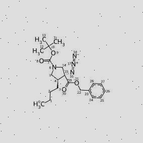 CCCC[C@H]1CN(C(=O)OC(C)(C)C)C[C@@]1(N=[N+]=[N-])C(=O)OCc1ccccc1